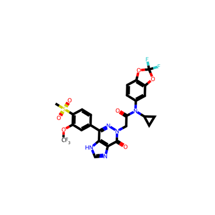 CS(=O)(=O)c1ccc(-c2nn(CC(=O)N(c3ccc4c(c3)OC(F)(F)O4)C3CC3)c(=O)c3nc[nH]c23)cc1OC(F)(F)F